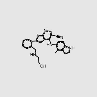 Cc1c(Nc2c(C#N)cnc3sc(-c4ccccc4CNCCO)cc23)ccc2[nH]ccc12